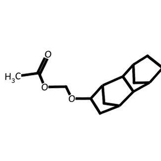 CC(=O)OCOC1CC2CC1C1C3CCC(C3)C21